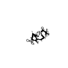 O=C(N1CCc2c(ccc([N+](=O)[O-])c2F)C1)C(F)(F)F